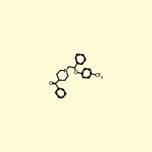 O=C(c1ccccc1)C1CCN(CC(Oc2ccc(C(F)(F)F)cc2)c2ccccc2)CC1